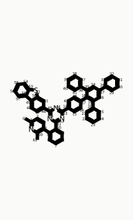 Cc1ccc(-c2ccccc2-c2nc(-c3ccc(-c4c(-c5ccccc5)cc(-c5ccccc5)cc4-c4ccccc4)cc3)nc(-c3ccc4c(c3)sc3ccccc34)n2)c(C)n1